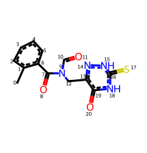 Cc1ccccc1C(=O)N(C=O)Cc1n[nH]c(=S)[nH]c1=O